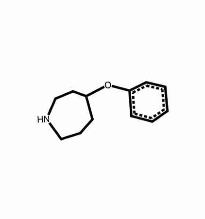 c1ccc(OC2CCCNCC2)cc1